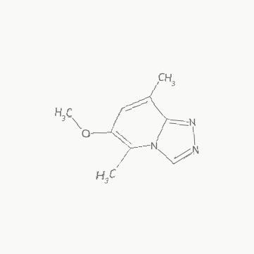 COc1cc(C)c2nncn2c1C